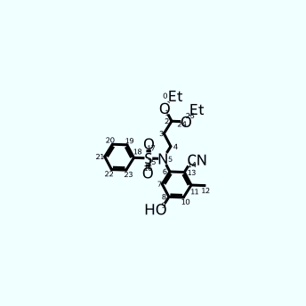 CCOC(CCN(c1cc(O)cc(C)c1C#N)S(=O)(=O)c1ccccc1)OCC